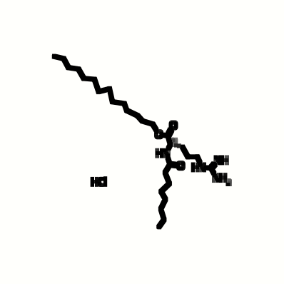 CCCCCCCCCCCCCCOC(=O)[C@H](CCCNC(=N)N)NC(=O)CCCCCCC.Cl